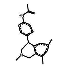 C=C(C)Nc1ccc(C2CN(C)Cc3c(C)cc(C)cc32)cc1